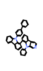 c1ccc(-c2ccc(-n3c4ccccc4c4cccc(-c5cccc6c7ccncc7n(-c7ccccc7)c56)c43)cc2)cc1